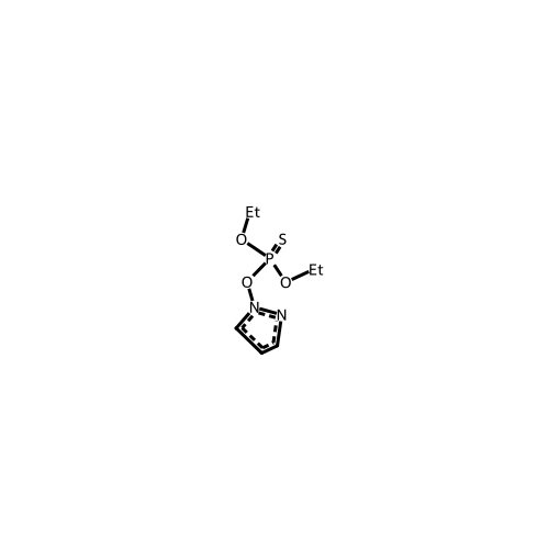 CCOP(=S)(OCC)On1cccn1